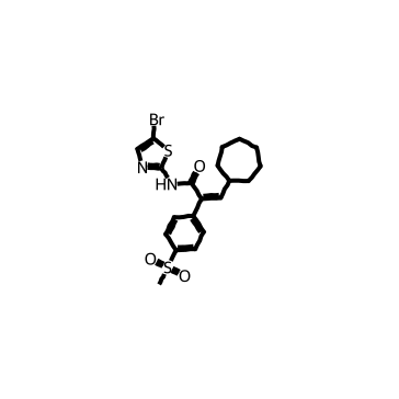 CS(=O)(=O)c1ccc(C(=CC2CCCCCC2)C(=O)Nc2ncc(Br)s2)cc1